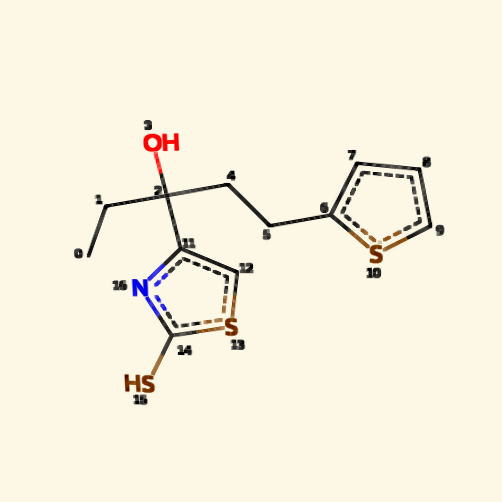 CCC(O)(CCc1cccs1)c1csc(S)n1